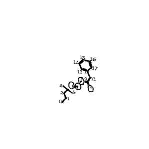 CCCC(C)(C)OOOC(=O)Cc1ccccc1